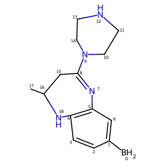 Bc1ccc2c(c1)N=C(N1CCNCC1)CC(C)N2